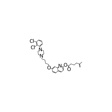 C=C(C)CCCC(=O)Oc1ccc2ccc(OCCCCN3CCN(c4cccc(Cl)c4Cl)CC3)cc2n1